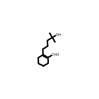 CC(C)(O)CCCC1=C(C=O)CCCC1